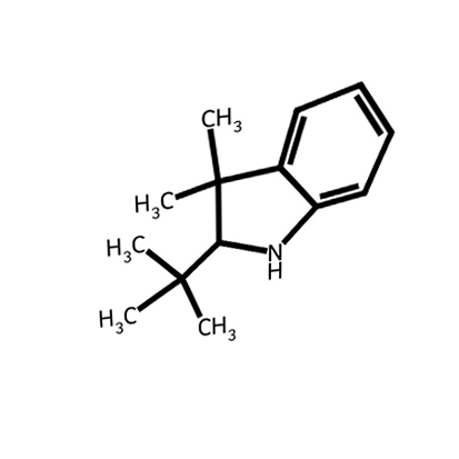 CC(C)(C)C1Nc2ccccc2C1(C)C